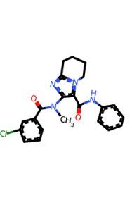 CN(C(=O)c1cccc(Cl)c1)c1nc2n(c1C(=O)Nc1ccccc1)CCCC2